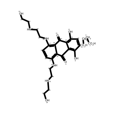 CC(=O)O.CC(=O)O.O=C1c2c(O)ccc(O)c2C(=O)c2c(NCCNCCO)ccc(NCCNCCO)c21